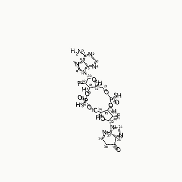 Nc1ncnc2c1ncn2[C@@H]1O[C@@H]2COP(=O)(S)O[C@H]3[C@@H](F)[C@H](n4cnc5c4N=CCC5=O)O[C@@H]3COP(=O)(S)O[C@H]2[C@H]1F